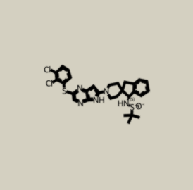 CC(C)(C)[S+]([O-])N[C@@H]1c2ccccc2CC12CCN(c1cc3nc(Sc4cccc(Cl)c4Cl)cnc3[nH]1)CC2